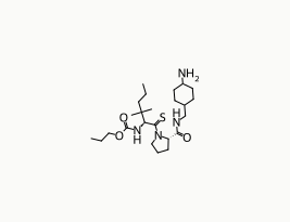 CCCOC(=O)N[C@H](C(=S)N1CCC[C@H]1C(=O)NCC1CCC(N)CC1)C(C)(C)CCC